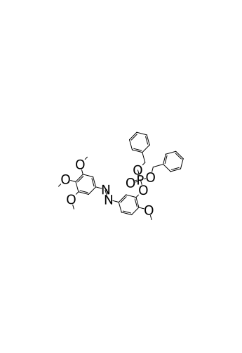 COc1ccc(N=Nc2cc(OC)c(OC)c(OC)c2)cc1OP(=O)(OCc1ccccc1)OCc1ccccc1